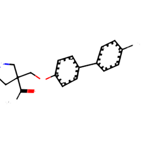 COC(=O)C1(COc2ccc(-c3ccc(C#N)cc3)cc2)CCNC1